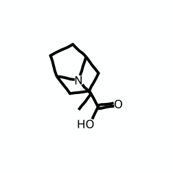 CCN1C2CCC1CC(C(=O)O)C2